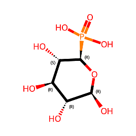 O=P(O)(O)[C@H]1O[C@@H](O)[C@H](O)[C@@H](O)[C@@H]1O